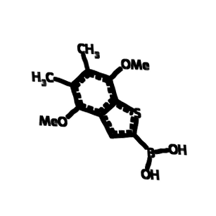 COc1c(C)c(C)c(OC)c2sc(B(O)O)cc12